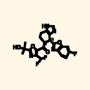 CC(C)(O)c1nc(C(F)F)c(C(=O)N2CCc3[nH]cnc3[C@H]2c2nc3ccc(F)cc3o2)o1